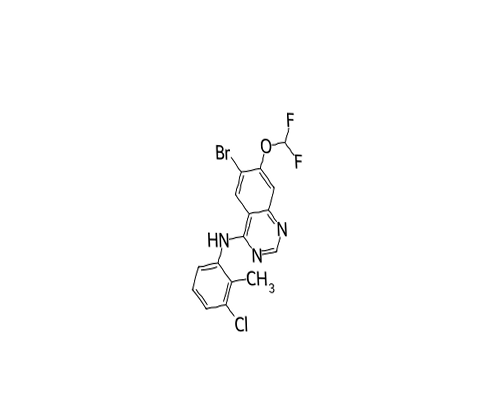 Cc1c(Cl)cccc1Nc1ncnc2cc(OC(F)F)c(Br)cc12